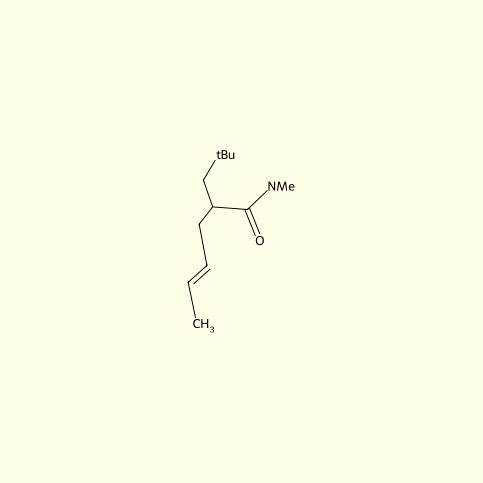 C/C=C/CC(CC(C)(C)C)C(=O)NC